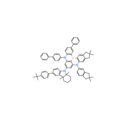 CC1(C)Cc2ccc(N3c4cc5c(cc4B4c6cc(-c7ccccc7)ccc6N(c6ccc(-c7ccccc7)cc6)c6cc(N7c8ccc(-c9ccc(C(C)(C)C)cc9)cc8C8(C)CCCCC78C)cc3c64)CC(C)(C)C5)cc2C1